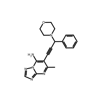 Cc1nc2ncnn2c(N)c1C#CC(c1ccccc1)N1CCOCC1